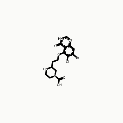 O=C(O)N1CCNC(CCOc2c(Cl)c(Br)cc3nc[nH]c(=O)c23)C1